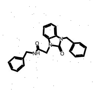 O=C(Cn1c(=O)n(Cc2ccccc2)c2ccccc21)NCc1ccccc1